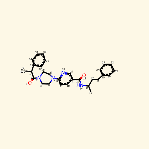 CCC(C(=O)N1CCN(c2ccc(C(=O)NC(C)CCc3ccccc3)cn2)CC1)c1ccccc1